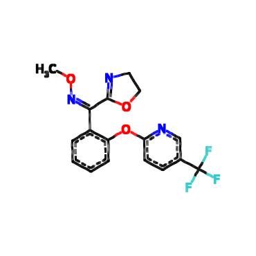 CON=C(C1=NCCO1)c1ccccc1Oc1ccc(C(F)(F)F)cn1